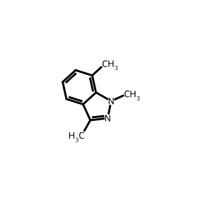 Cc1nn(C)c2c(C)cccc12